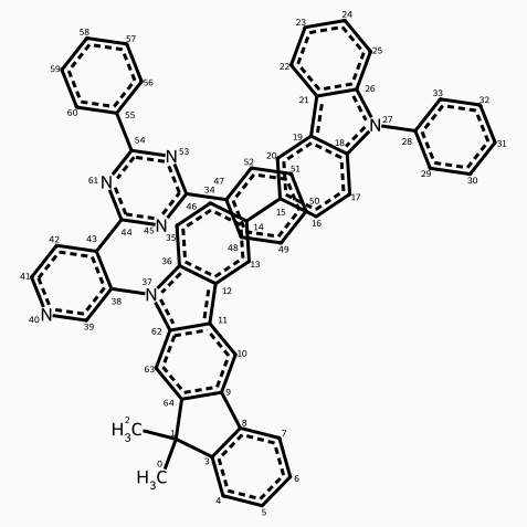 CC1(C)c2ccccc2-c2cc3c4cc(-c5ccc6c(c5)c5ccccc5n6-c5ccccc5)ccc4n(-c4cnccc4-c4nc(-c5ccccc5)nc(-c5ccccc5)n4)c3cc21